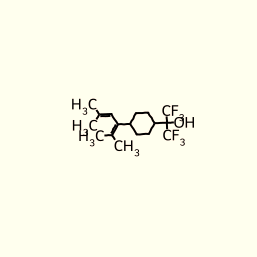 CC(C)=CC(=C(C)C)C1CCC(C(O)(C(F)(F)F)C(F)(F)F)CC1